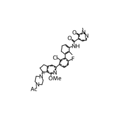 COc1nc(-c2ccc(F)c(C3=C(C)C(NC(=O)c4ccnn(C)c4=O)=CCC3)c2Cl)cc2c1[C@@H](N1CCN(C(C)=O)CC1)CC2